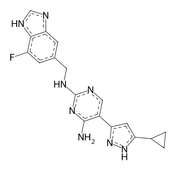 Nc1nc(NCc2cc(F)c3[nH]cnc3c2)ncc1-c1cc(C2CC2)[nH]n1